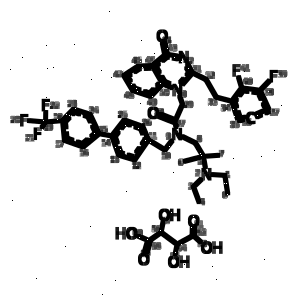 CCN(CC)C(C)(C)CN(Cc1ccc(-c2ccc(C(F)(F)F)cc2)cc1)C(=O)Cn1c(CCc2cccc(F)c2F)nc(=O)c2ccccc21.O=C(O)C(O)C(O)C(=O)O